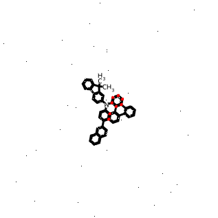 CC1(C)c2ccccc2-c2ccc(N(c3ccc(-c4ccc5ccccc5c4)cc3)c3ccccc3-c3ccccc3-c3ccccc3-c3ccccc3)cc21